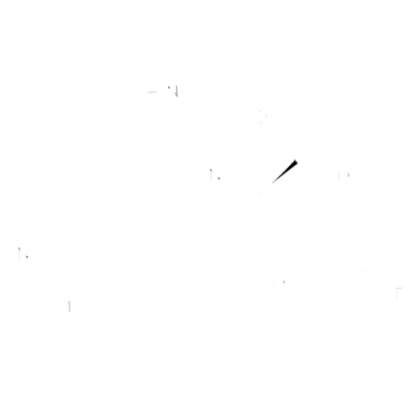 NC1=N[C@@]2(CO1)c1cc(-c3cccnc3F)ccc1OC1C2OCCC1(F)F